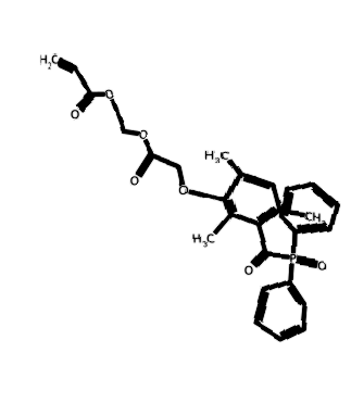 C=CC(=O)OCOC(=O)COc1c(C)cc(C)c(C(=O)P(=O)(c2ccccc2)c2ccccc2)c1C